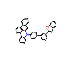 c1ccc(-c2ccccc2N(c2ccc(-c3cccc(-c4cc5ccccc5o4)c3)cc2)c2ccc3ccccc3c2)cc1